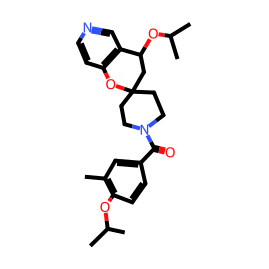 Cc1cc(C(=O)N2CCC3(CC2)CC(OC(C)C)c2cnccc2O3)ccc1OC(C)C